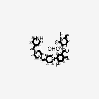 C=C1CCC(N(C=O)C(=O)c2cc(N3CCC(CN4CCN(CC5CCNCC5)CC4)CC3)c(F)cc2C)C(=O)N1